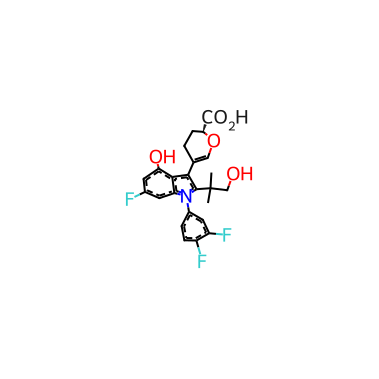 CC(C)(CO)c1c(C2=CO[C@H](C(=O)O)CC2)c2c(O)cc(F)cc2n1-c1ccc(F)c(F)c1